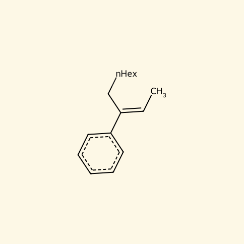 CC=C(CCCCCCC)c1ccccc1